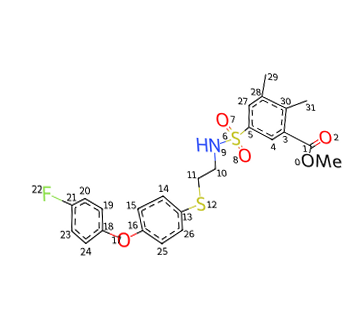 COC(=O)c1cc(S(=O)(=O)NCCSc2ccc(Oc3ccc(F)cc3)cc2)cc(C)c1C